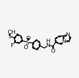 CSc1ccc(S(=O)(=O)c2ccc(CNC(=O)c3ccc4nccn4c3)cc2)cc1F